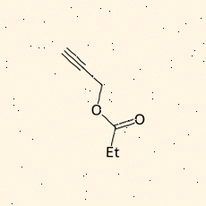 C#CCOC(=O)CC